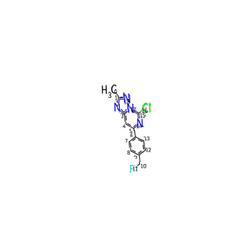 Cc1nc2cc(-c3ccc(CF)cc3)nc(Cl)n2n1